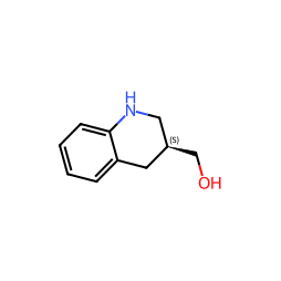 OC[C@@H]1CNc2ccccc2C1